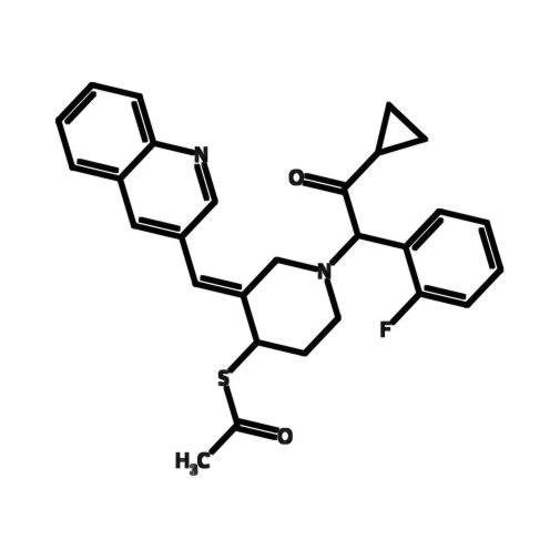 CC(=O)SC1CCN(C(C(=O)C2CC2)c2ccccc2F)C/C1=C\c1cnc2ccccc2c1